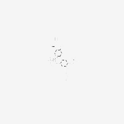 COCCCOc1cc2c(cc1OC(C)(C)C)-c1cc(=O)c(C(=O)O)cn1N1C2CCC1(C)C